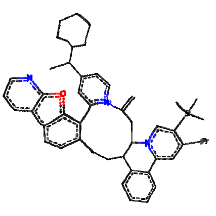 C=C1CC2C(CCc3ccc4c(oc5ncccc54)c3-c3cc(C(C)C4CCCCC4)cc[n+]31)c1ccccc1-c1cc(C(C)C)c([Si](C)(C)C)c[n+]12